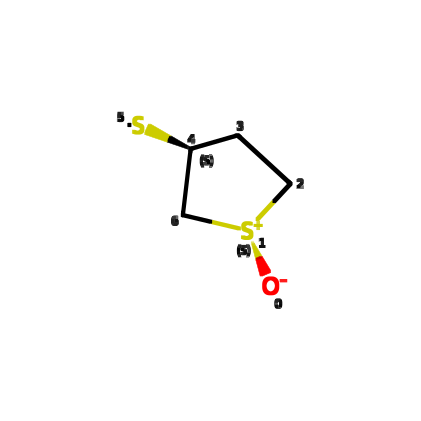 [O-][S@+]1CC[C@H]([S])C1